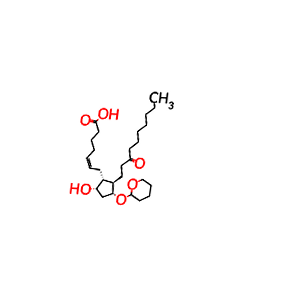 CCCCCCCC(=O)CC[C@@H]1[C@@H](C/C=C\CCCC(=O)O)[C@@H](O)C[C@H]1OC1CCCCO1